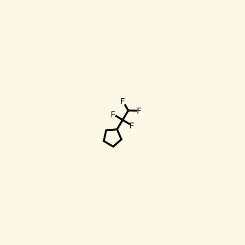 FC(F)C(F)(F)C1CCCC1